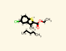 CCOC(=O)c1sc2ccc(Cl)cc2c1C.[Li][CH2]CCC